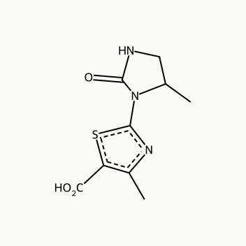 Cc1nc(N2C(=O)NCC2C)sc1C(=O)O